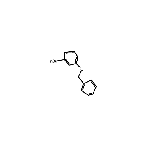 CCCCc1cccc(OCc2ccccc2)c1